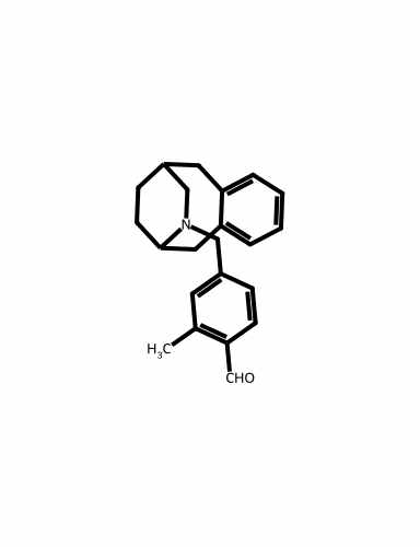 Cc1cc(CN2CC3CCC2Cc2ccccc2C3)ccc1C=O